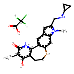 Cn1c(CNC2CC2)cc2cc3c(cc21)SCCc1c-3[nH]c(=O)c(C(=O)O)c1O.O=C(O)C(F)(F)F